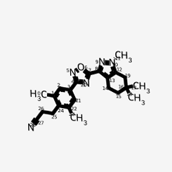 Cc1cc(-c2noc(-c3nn(C)c4c3CCC(C)(C)C4)n2)cc(C)c1CCC#N